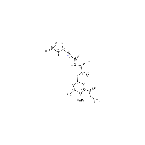 C=CC(=O)OCC(CC(CC)OCCC)CC(CC)C(=O)OC(=O)/C=C/C1CCC(=O)N1